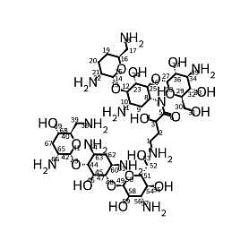 NCCC(O)C(=O)N[C@@H]1C[C@H](N)[C@@H](O[C@H]2O[C@H](CN)CC[C@H]2N)[C@H](O)[C@H]1O[C@H]1O[C@H](CO)[C@@H](O)[C@H](N)[C@H]1O.NC[C@H]1O[C@H](O[C@H]2[C@H](O)[C@@H](O[C@H]3O[C@H](CO)[C@@H](O)[C@H](N)[C@H]3O)[C@H](N)C[C@@H]2N)[C@H](N)C[C@@H]1O